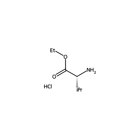 CCOC(=O)[C@H](N)C(C)C.Cl